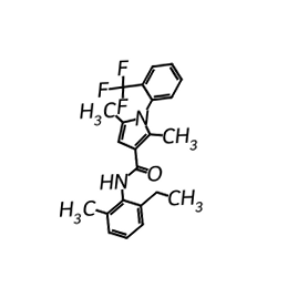 CCc1cccc(C)c1NC(=O)c1cc(C)n(-c2ccccc2C(F)(F)F)c1C